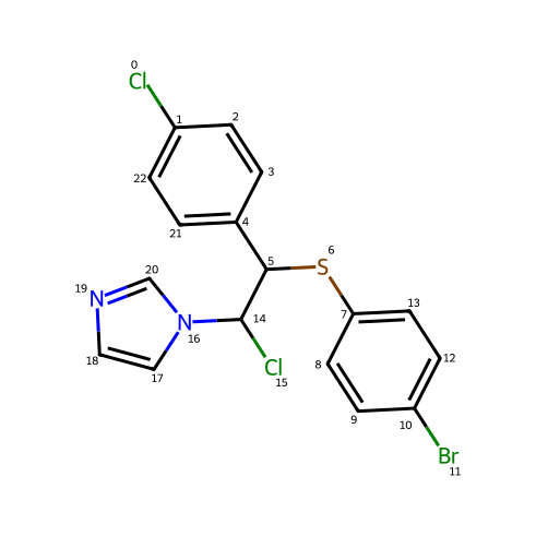 Clc1ccc(C(Sc2ccc(Br)cc2)C(Cl)n2ccnc2)cc1